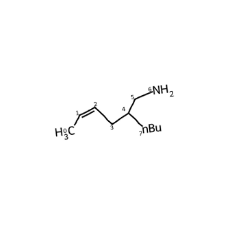 C/C=C\CC(CN)CCCC